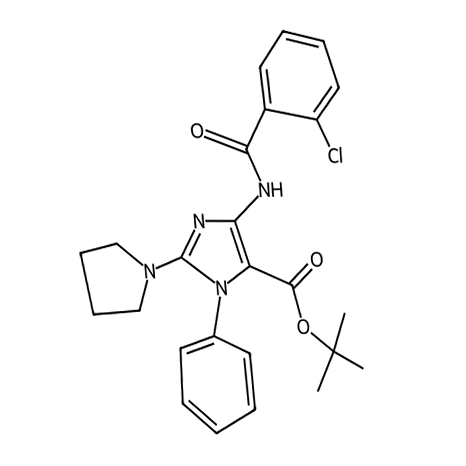 CC(C)(C)OC(=O)c1c(NC(=O)c2ccccc2Cl)nc(N2CCCC2)n1-c1ccccc1